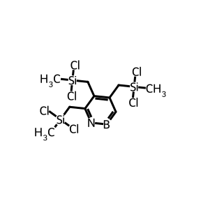 C[Si](Cl)(Cl)Cc1cbnc(C[Si](C)(Cl)Cl)c1C[Si](C)(Cl)Cl